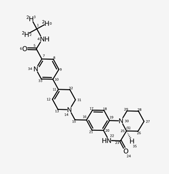 [2H]C([2H])([2H])NC(=O)c1ccc(C2=CCN(Cc3ccc4c(c3)NC(=O)[C@@H]3CCCCN43)CC2)cn1